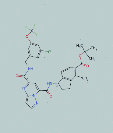 Cc1c(C(=O)OC(C)(C)C)ccc2c1CC[C@@H]2NC(=O)c1cc(C(=O)NCc2cc(Cl)cc(OC(F)(F)F)c2)nc2ccnn12